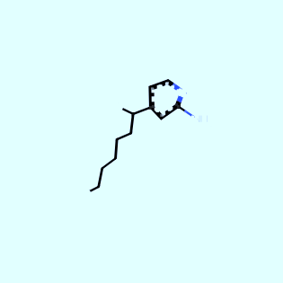 CCCCCCC(C)c1ccnc(N)c1